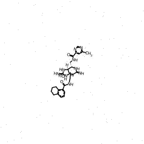 Cc1cc(C(=O)NC[C@@H]2NC(=N)N3CC(NC(=O)c4cccc5c4CCCC5)[C@@H](O)C34NC(=N)N[C@@H]24)ncn1